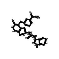 NC(=O)c1cccc(CN2C(=O)CSc3ccc(NC(=O)Nc4c[nH]c5ccccc45)cc32)c1